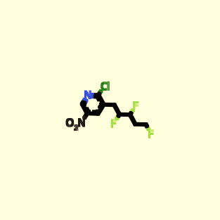 O=[N+]([O-])c1cnc(Cl)c(CC(F)C(F)CCF)c1